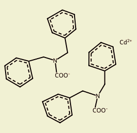 O=C([O-])N(Cc1ccccc1)Cc1ccccc1.O=C([O-])N(Cc1ccccc1)Cc1ccccc1.[Cd+2]